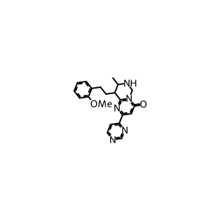 COc1ccccc1CCC1c2nc(-c3ccncn3)cc(=O)n2CNC1C